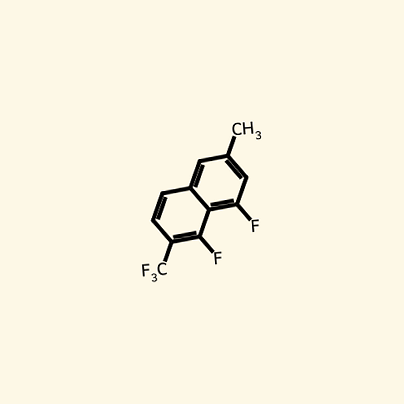 Cc1cc(F)c2c(F)c(C(F)(F)F)ccc2c1